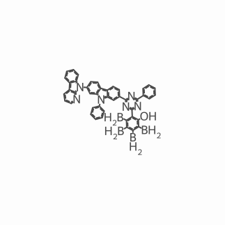 Bc1c(B)c(B)c(-c2nc(-c3ccccc3)nc(-c3ccc4c5ccc(-n6c7ccccc7c7cccnc76)cc5n(-c5ccccc5)c4c3)n2)c(O)c1B